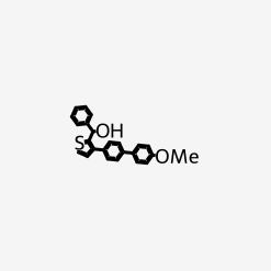 COc1ccc(-c2ccc(-c3ccsc3C(O)c3ccccc3)cc2)cc1